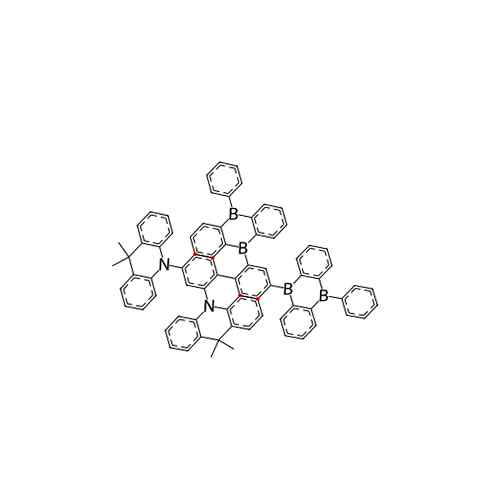 CC1(C)c2ccccc2N(c2ccc(-c3ccc(B4c5ccccc5B(c5ccccc5)c5ccccc54)cc3B3c4ccccc4B(c4ccccc4)c4ccccc43)c(N3c4ccccc4C(C)(C)c4ccccc43)c2)c2ccccc21